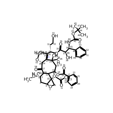 CO[C@H]1CC2OC[C@@]2(OC(C)=O)C2[C@H](OC(=O)c3ccccc3)CC(C)(C)/C(=C(/C)[C@H](CCO)OC(=O)[C@H](O)[C@@H](NC(=O)OC(C)(C)C)c3ccccc3)[C@@H](OC)C(=O)[C@@]21C